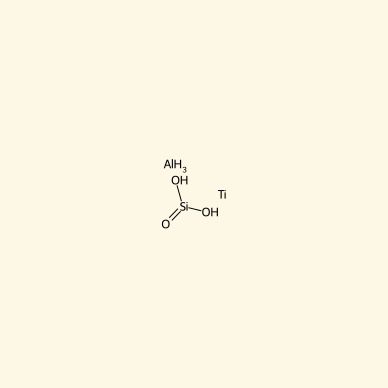 O=[Si](O)O.[AlH3].[Ti]